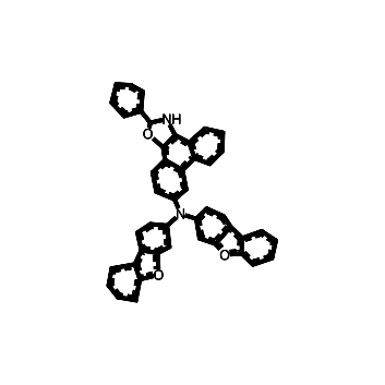 c1ccc(C2Nc3c(c4ccc(N(c5ccc6c(c5)oc5ccccc56)c5ccc6c(c5)oc5ccccc56)cc4c4ccccc34)O2)cc1